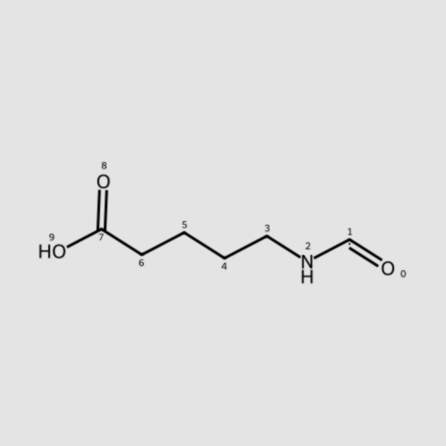 O=[C]NCCCCC(=O)O